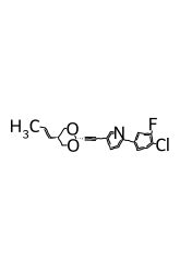 CC=C[C@H]1CO[C@H](C#Cc2ccc(-c3ccc(Cl)c(F)c3)nc2)OC1